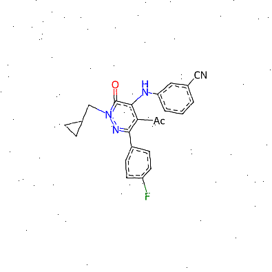 CC(=O)c1c(-c2ccc(F)cc2)nn(CC2CC2)c(=O)c1Nc1cccc(C#N)c1